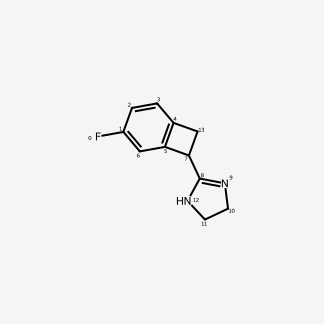 Fc1ccc2c(c1)C(C1=NCCN1)C2